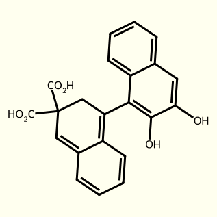 O=C(O)C1(C(=O)O)C=c2ccccc2=C(c2c(O)c(O)cc3ccccc23)C1